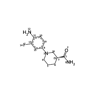 NC(=O)[C@H]1CCCN(c2ccc(N)c(F)c2)C1